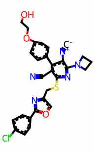 [C-]#[N+]c1c(N2CCC2)nc(SCc2coc(-c3ccc(Cl)cc3)n2)c(C#N)c1-c1ccc(OCCO)cc1